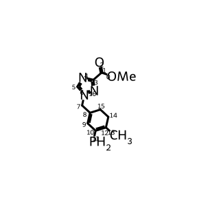 COC(=O)c1ncn(CC2=CC(P)=C(C)CC2)n1